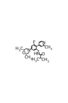 Cc1cc(-c2c(F)cc(N3C[C@@H](C)O[C@@H](C)C3)cc2CNC(=O)C(C)C)ccn1